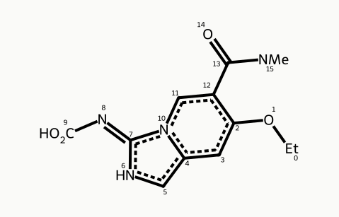 CCOc1cc2c[nH]/c(=N\C(=O)O)n2cc1C(=O)NC